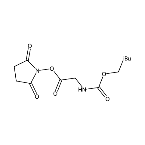 CCC(C)COC(=O)NCC(=O)ON1C(=O)CCC1=O